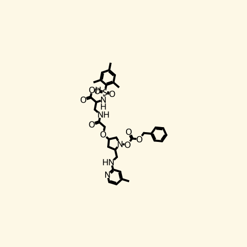 Cc1ccnc(NCC2CC(OCC(=O)NCC(NS(=O)(=O)c3c(C)cc(C)cc3C)C(=O)O)CN2OC(=O)OCc2ccccc2)c1